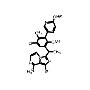 COc1ccc(-c2c(C)c(Cl)cc(C(C)c3nc(Br)c4c(N)nccn34)c2OC)cn1